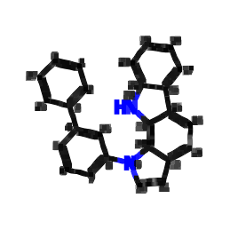 c1ccc(-c2cccc(-n3ccc4ccc5c6ccccc6[nH]c5c43)c2)cc1